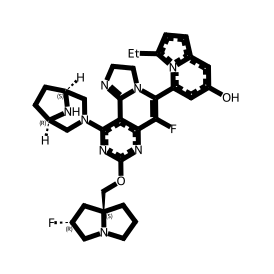 CCc1ccc2cc(O)cc(C3=C(F)c4nc(OC[C@@]56CCCN5C[C@H](F)C6)nc(N5C[C@H]6CC[C@@H](C5)N6)c4C4=NCCN43)n12